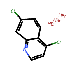 Br.Br.Br.Clc1ccc2c(Cl)ccnc2c1